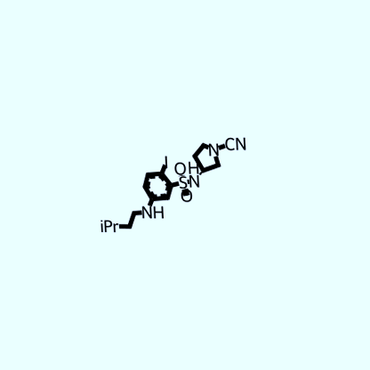 CC(C)CCNc1ccc(I)c(S(=O)(=O)N[C@@H]2CCN(C#N)C2)c1